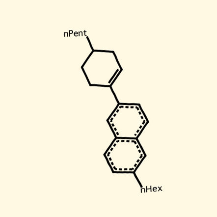 CCCCCCc1ccc2cc(C3=CCC(CCCCC)CC3)ccc2c1